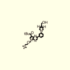 CC(C)(C)C(=O)c1cn(COCC[Si](C)(C)C)c2ncc(-c3cccc(N4C[C@@H]5C(CO)[C@@H]5C4)c3)nc12